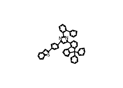 c1ccc(-c2ccccc2-c2nc(-c3ccc(-c4cc5ccccc5s4)cc3)cc(-c3cccc4c3-c3ccccc3C4(c3ccccc3)c3ccccc3)n2)cc1